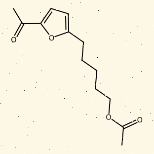 CC(=O)OCCCCCc1ccc(C(C)=O)o1